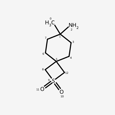 CC1(N)CCC2(CC1)CS(=O)(=O)C2